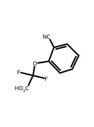 N#Cc1ccccc1OC(F)(F)C(=O)O